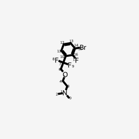 CN(C)CCOCC(F)(F)c1cccc(Br)c1F